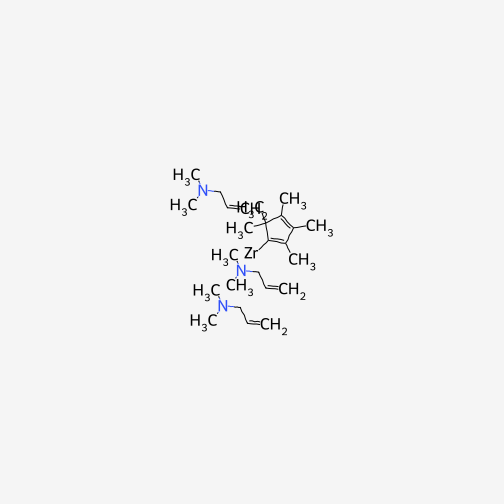 C=CCN(C)C.C=CCN(C)C.C=CCN(C)C.CC1=C(C)C(C)(C)[C]([Zr])=C1C